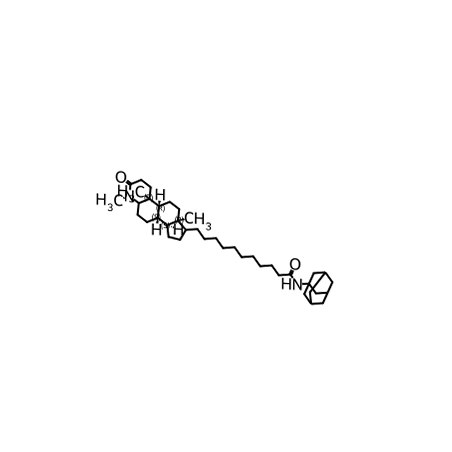 CN1C(=O)CC[C@@]2(C)C1CC[C@@H]1[C@H]2CC[C@]2(C)C(CCCCCCCCCCC(=O)NC34CC5CC(CC(C5)C3)C4)CC[C@@H]12